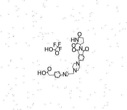 O=C(O)C(F)(F)F.O=C(O)Cc1ccc(N2CC(CN3CCN(c4ccc5c(c4)C(=O)N(C4CCC(=O)NC4=O)C5=O)CC3)C2)cc1